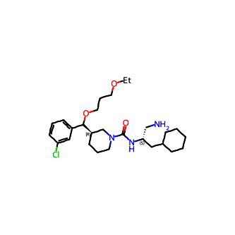 CCOCCCOC(c1cccc(Cl)c1)[C@@H]1CCCN(C(=O)N[C@H](CN)CC2CCCCC2)C1